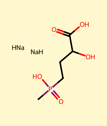 CP(=O)(O)CCC(O)C(=O)O.[NaH].[NaH]